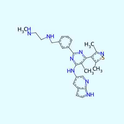 CNCCNCc1cccc(-c2nc(Nc3cnc4[nH]ccc4c3)c(C)c(-c3c(C)nsc3C)n2)c1